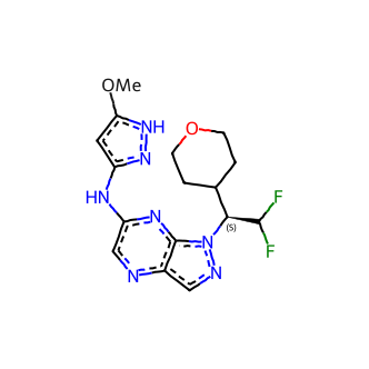 COc1cc(Nc2cnc3cnn([C@H](C(F)F)C4CCOCC4)c3n2)n[nH]1